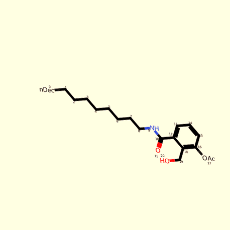 CCCCCCCCCCCCCCCCCCNC(=O)c1cccc(OC(C)=O)c1CO